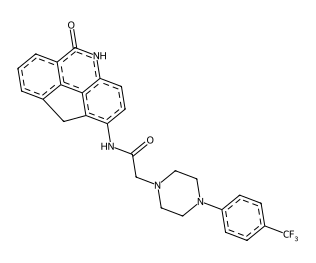 O=C(CN1CCN(c2ccc(C(F)(F)F)cc2)CC1)Nc1ccc2[nH]c(=O)c3cccc4c3c2c1C4